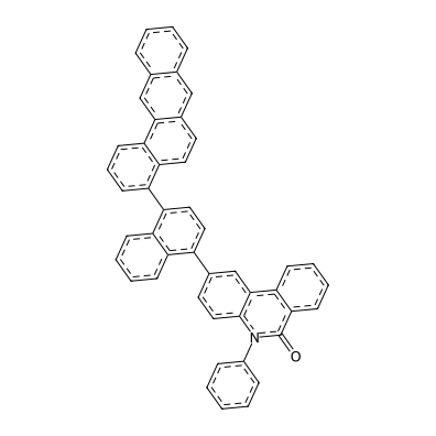 O=c1c2ccccc2c2cc(-c3ccc(-c4cccc5c4ccc4cc6ccccc6cc45)c4ccccc34)ccc2n1-c1ccccc1